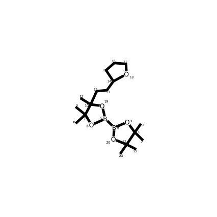 CC1(C)OB(B2OC(C)(C)C(C)(CCC3CCCO3)O2)OC1(C)C